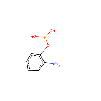 Nc1ccccc1OP(O)O